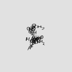 CCC(C)(OCCCNc1cccc2c1C(=O)N(C1CCC(=O)N(C)C1=O)C2=O)S(=O)(=O)NC(=O)C1(n2cc(-c3nn4ccc(N5CC6CC5CO6)nc4c3C(N)=O)cn2)CCCC(C(F)F)C1